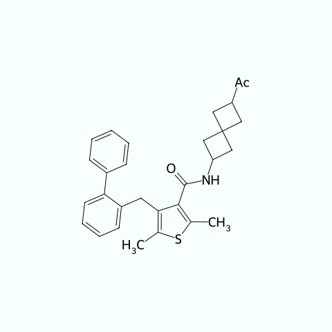 CC(=O)C1CC2(CC(NC(=O)c3c(C)sc(C)c3Cc3ccccc3-c3ccccc3)C2)C1